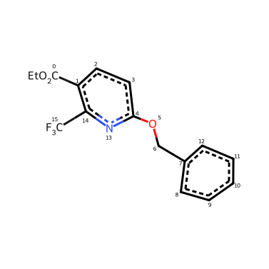 CCOC(=O)c1ccc(OCc2ccccc2)nc1C(F)(F)F